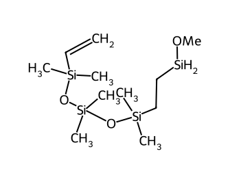 C=C[Si](C)(C)O[Si](C)(C)O[Si](C)(C)CC[SiH2]OC